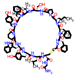 CCCC[C@H]1C(=O)N2CCC[C@@H]2C(=O)N[C@@H](CO)C(=O)N[C@@H](C(C)C)C(=O)N(C)[C@@H](Cc2ccccc2)C(=O)N[C@@H](Cc2ccc(O)cc2)C(=O)N2CCCC[C@@H]2C(=O)N[C@@H](Cc2c[nH]c3ccccc23)C(=O)N[C@@H](Cc2ccc(O)cc2)C(=O)N[C@@H](CC(C)C)C(=O)N[C@H](C(=O)NCC(N)=O)CSCC(=O)N[C@@H](Cc2ccccc2)C(=O)N(C)[C@@H](Cc2ccccc2)C(=O)N1C